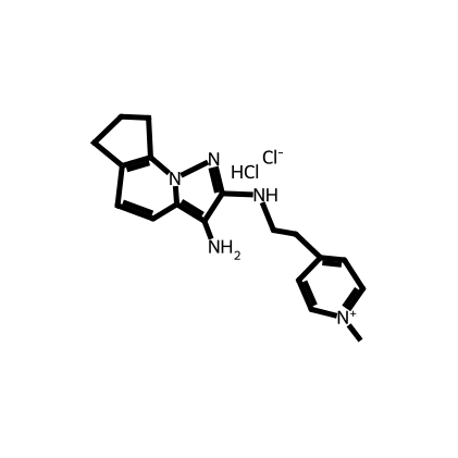 C[n+]1ccc(CCNc2nn3c4c(ccc3c2N)CCC4)cc1.Cl.[Cl-]